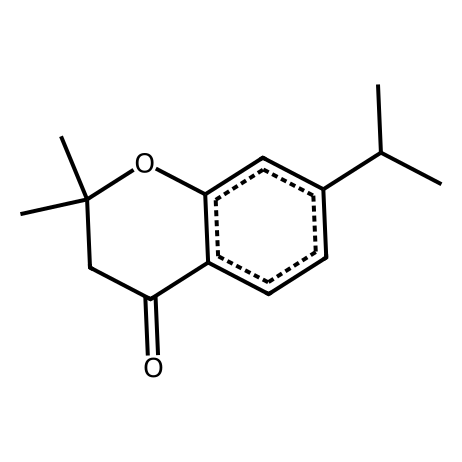 CC(C)c1ccc2c(c1)OC(C)(C)CC2=O